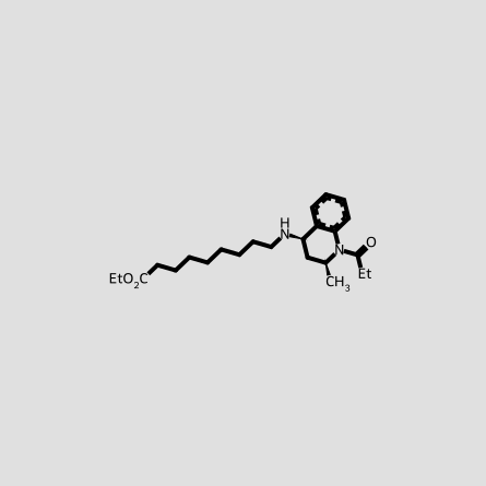 CCOC(=O)CCCCCCCCN[C@@H]1C[C@H](C)N(C(=O)CC)c2ccccc21